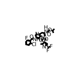 Cc1nn(C(F)F)cc1S(=O)(=O)N1C[C@H](NC(=O)OC(C)C)Cc2ncc(NC(=O)c3c(F)cccc3Cl)cc21